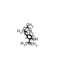 CC(=O)OC(C)(C)Cc1ccc(O)c(C(C)C)c1